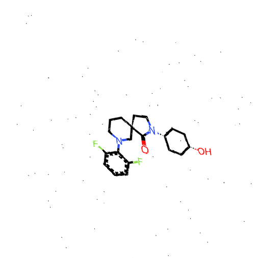 O=C1N([C@H]2CC[C@@H](O)CC2)CC[C@@]12CCCN(c1c(F)cccc1F)C2